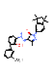 CC1=NN(c2ccc3c(c2)C(C)(C)CC3(C)C)C(=O)C1=NNc1cccc(-c2cccc(C(=O)O)c2)c1O